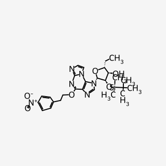 CC[C@H]1O[C@@H](n2cnc3c(OCCc4ccc([N+](=O)[O-])cc4)nc4nccn4c32)[C@H](O[Si](C)(C)C(C)(C)C)[C@@H]1O